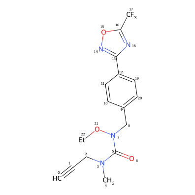 C#CCN(C)C(=O)N(Cc1ccc(-c2noc(C(F)(F)F)n2)cc1)OCC